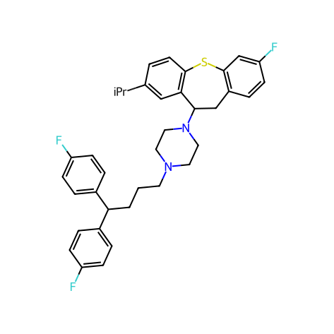 CC(C)c1ccc2c(c1)C(N1CCN(CCCC(c3ccc(F)cc3)c3ccc(F)cc3)CC1)Cc1ccc(F)cc1S2